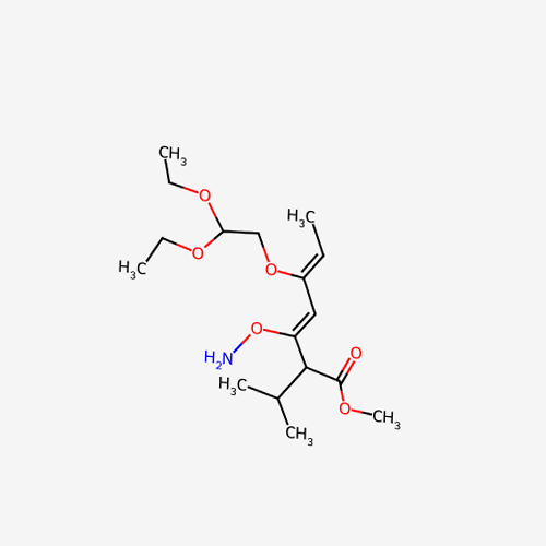 C/C=C(/C=C(\ON)C(C(=O)OC)C(C)C)OCC(OCC)OCC